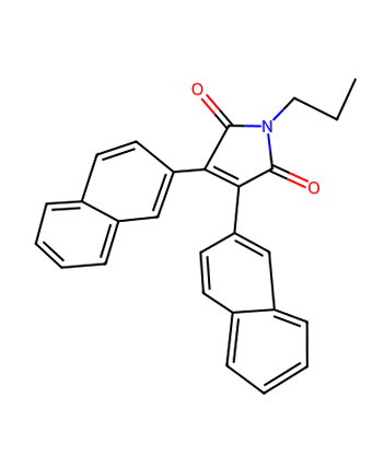 CCCN1C(=O)C(c2ccc3ccccc3c2)=C(c2ccc3ccccc3c2)C1=O